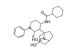 O=C(NC1CCN(c2ccccc2)C(F)C1C12CCC(CC(O)C1)N2C(=O)O)C1CCCCC1